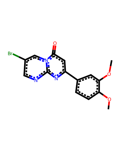 COc1ccc(-c2cc(=O)n3cc(Br)cnc3n2)cc1OC